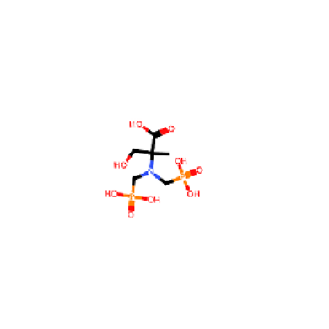 CC(CO)(C(=O)O)N(CP(=O)(O)O)CP(=O)(O)O